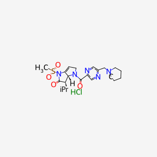 CC(C)[C@H]1C(=O)N(S(C)(=O)=O)C2=CCN(C(=O)c3cnc(CN4CCCCC4)cn3)[C@@H]21.Cl